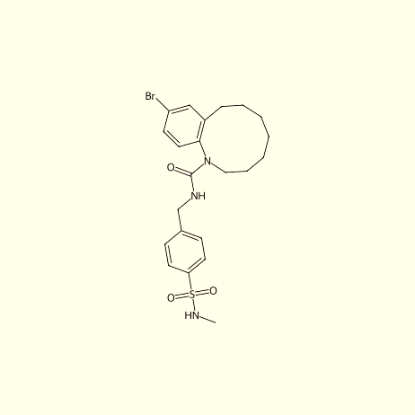 CNS(=O)(=O)c1ccc(CNC(=O)N2CCCCCCCc3cc(Br)ccc32)cc1